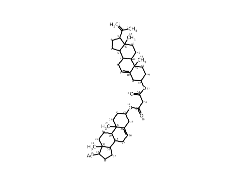 C=C(C)C1CCC2C3CC=C4CC(OC(=O)CC(=O)OC5CCC6(C)C(=CCC7C6CCC6(C)C(C(C)=O)CCC76)C5)CCC4(C)C3CCC12C